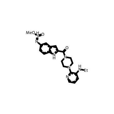 CCNc1cccnc1N1CCN(C(=O)c2cc3cc(N=[SH](=O)OC)ccc3[nH]2)CC1